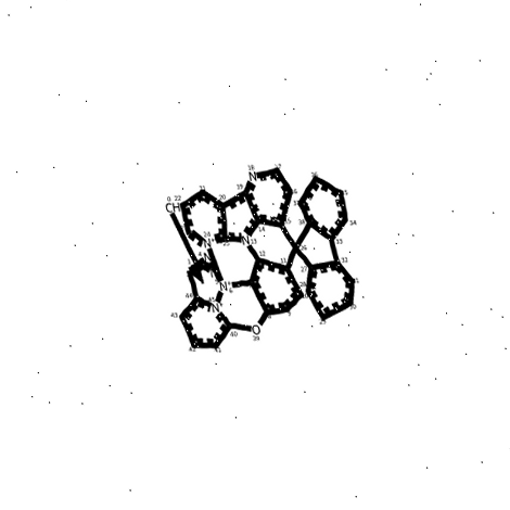 Cc1cc2n(n1)[N+]13c4c(ccc5c4-n4c6c(ccnc6c6ccc[n+]1c64)C51c4ccccc4-c4ccccc41)Oc1cccc-2[n+]13